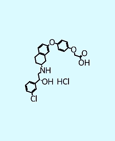 Cl.O=C(O)COc1ccc(Oc2ccc3c(c2)C[C@@H](NC[C@H](O)c2cccc(Cl)c2)CC3)cc1